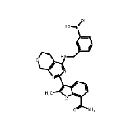 Cc1[nH]c2c(C(N)=O)cccc2c1-c1nc2c(c(NCc3cccc(B(O)O)c3)n1)CCOC2